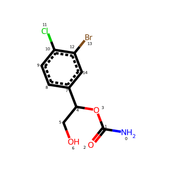 NC(=O)OC(CO)c1ccc(Cl)c(Br)c1